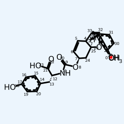 CN1CC[C@@]23C=C[C@H](OC(=O)N[C@H](Cc4ccc(O)cc4)C(=O)O)C[C@@H]2Oc2c(O)ccc(c23)C1